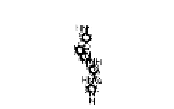 CNC1CCC(Oc2cccc3cnc(Nc4ccc(C(=O)NC5CCNCC5)cn4)nc23)CC1